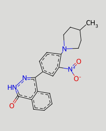 CC1CCN(c2ccc(-c3n[nH]c(=O)c4ccccc34)cc2[N+](=O)[O-])CC1